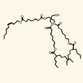 CCCCC/C=C\CCOC(=O)CCCCCC(=O)OCC(CO)(COC(=O)CCCCCCOC(=O)C(CCCC)CCCCCC)COC(=O)CCCCCCOC(=O)C(CCCC)CCCCCC